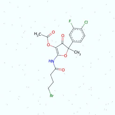 CC(=O)OC1=C(NC(=O)CCCBr)OC(C)(c2ccc(Cl)c(F)c2)C1=O